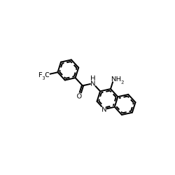 Nc1c(NC(=O)c2cccc(C(F)(F)F)c2)cnc2ccccc12